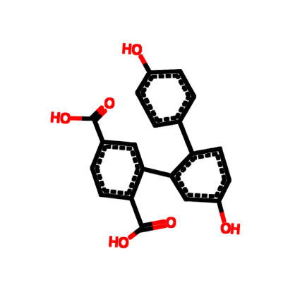 O=C(O)c1ccc(C(=O)O)c(-c2cc(O)ccc2-c2ccc(O)cc2)c1